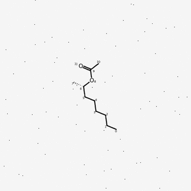 CCCCCC[C@H](C)OC(C)=O